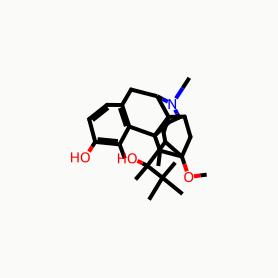 COC12CCC3(CC1C(C)(O)C(C)(C)C)C1Cc4ccc(O)c(C)c4C3(CCN1C)C2C